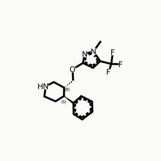 Cn1nc(OC[C@H]2CNCC[C@@H]2c2ccccc2)cc1C(F)(F)F